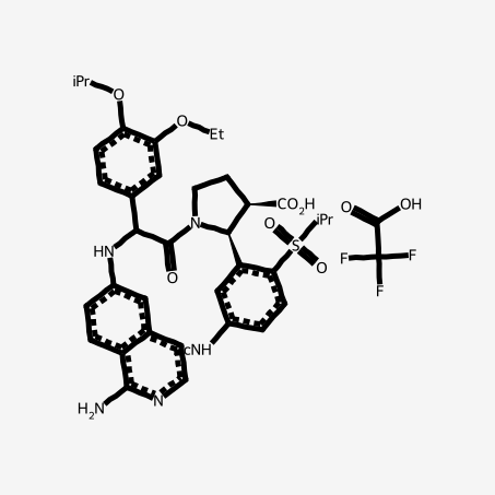 CCOc1cc(C(Nc2ccc3c(N)nccc3c2)C(=O)N2CC[C@@H](C(=O)O)[C@H]2c2cc(NC(C)=O)ccc2S(=O)(=O)C(C)C)ccc1OC(C)C.O=C(O)C(F)(F)F